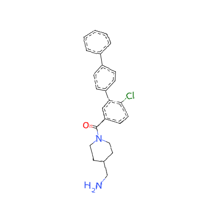 NCC1CCN(C(=O)c2ccc(Cl)c(-c3ccc(-c4ccccc4)cc3)c2)CC1